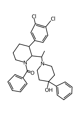 CC(C1C(c2ccc(Cl)c(Cl)c2)CCCN1C(=O)c1ccccc1)N1CCC(O)(c2ccccc2)CC1